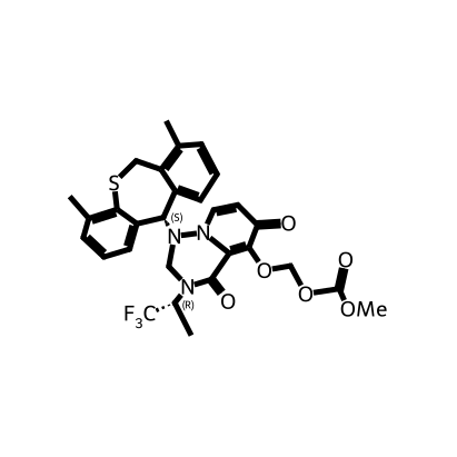 COC(=O)OCOc1c2n(ccc1=O)N([C@H]1c3cccc(C)c3CSc3c(C)cccc31)CN([C@H](C)C(F)(F)F)C2=O